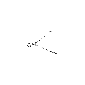 CCCCCCCCCCCCCCCCN(CCCCCCCCCCCCCC)C(C)(C)c1ccccc1